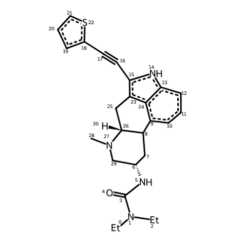 CCN(CC)C(=O)N[C@H]1CC2c3cccc4[nH]c(C#Cc5cccs5)c(c34)C[C@H]2N(C)C1